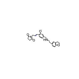 COc1cc(CNCCc2ccc3c(c2)CCO3)ccc1/C=C/CN1C(=O)CCC1=O